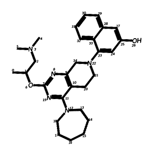 CC(CN(C)C)Oc1nc2c(c(N3CCCCCC3)n1)CCN(c1cc(O)cc3ccccc13)C2